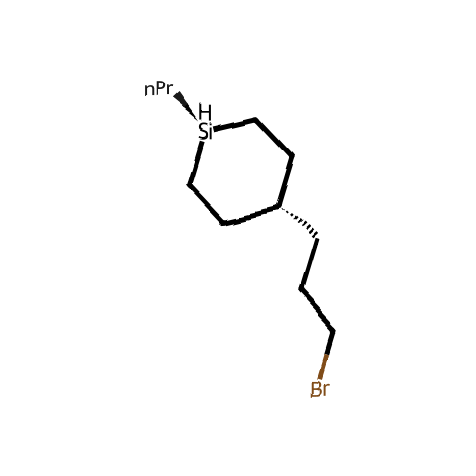 CCC[Si@H]1CC[C@H](CCCBr)CC1